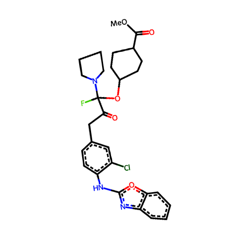 COC(=O)C1CCC(OC(F)(C(=O)Cc2ccc(Nc3nc4ccccc4o3)c(Cl)c2)N2CCCC2)CC1